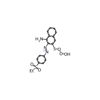 CCS(=O)(=O)c1ccc(/N=N/c2c(SOOO)cc3ccccc3c2N)cc1